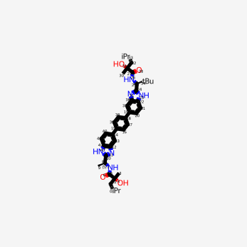 CC(C)CC(C)(O)C(=O)N[C@@H](C)c1nc2cc(-c3ccc(-c4ccc5[nH]c([C@@H](NC(=O)C(C)(O)CC(C)C)C(C)(C)C)nc5c4)cc3)ccc2[nH]1